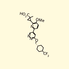 COc1ccc(-c2cnnc(OC[C@H]3CC[C@H](C(F)(F)F)CC3)c2)nc1C1CC1(C)C(=O)O